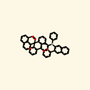 c1ccc(-c2cc3ccccc3cc2N(c2ccccc2)c2ccc3c4c(cccc24)C2(c4ccccc4-c4cccc5cccc2c45)c2ccccc2-3)cc1